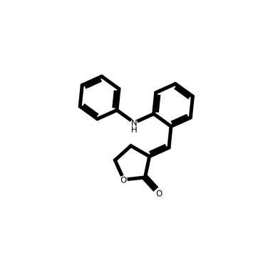 O=C1OCC/C1=C\c1ccccc1Nc1ccccc1